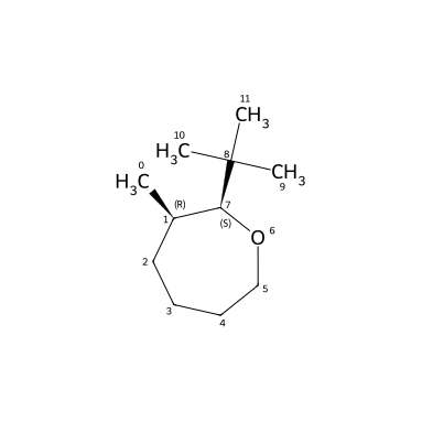 C[C@@H]1CCCCO[C@@H]1C(C)(C)C